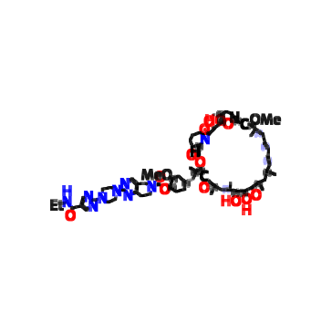 CCNC(=O)c1cnc(N2CCN(c3ncc4c(n3)CCN(C(=O)O[C@@H]3CC[C@@H](C[C@@H](C)[C@@H]5CC(=O)[C@H](C)/C=C(\C)[C@@H](O)[C@@H](O)C(=O)[C@H](C)C[C@H](C)/C=C/C=C/C=C(\C)[C@@H](OC)C[C@@H]6CC[C@@H](C)[C@@](O)(O6)C(=O)C(=O)N6CCCC[C@H]6C(=O)O5)C[C@H]3OC)C4)CC2)nc1